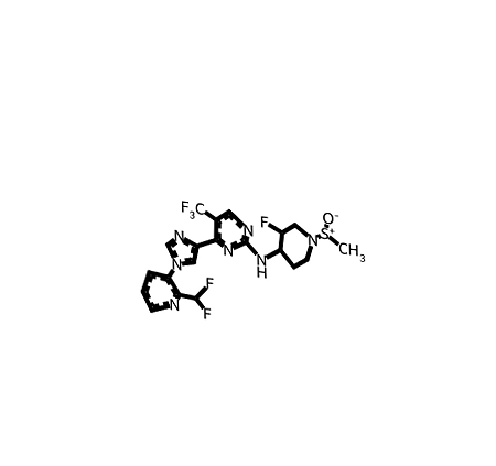 C[S+]([O-])N1CCC(Nc2ncc(C(F)(F)F)c(-c3cn(-c4cccnc4C(F)F)cn3)n2)C(F)C1